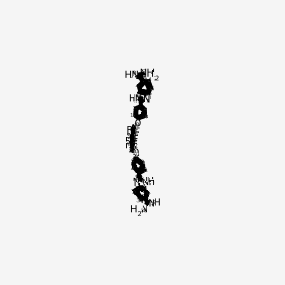 N=C(N)c1ccc2nc(-c3ccc(OCC(F)(F)C(F)(F)C(F)(F)COc4ccc(-c5nc6ccc(C(=N)N)cc6[nH]5)cc4)cc3)[nH]c2c1